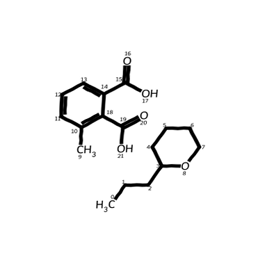 CCCC1CCCCO1.Cc1cccc(C(=O)O)c1C(=O)O